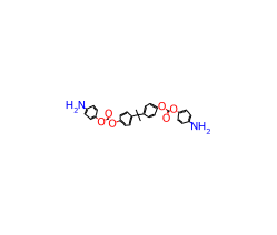 CC(C)(c1ccc(OC(=O)Oc2ccc(N)cc2)cc1)c1ccc(OC(=O)Oc2ccc(N)cc2)cc1